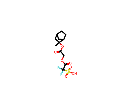 CC1(OC(=O)COC(=O)C(F)(F)S(=O)(=O)O)CC2CCC1C2